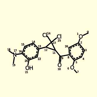 COc1ccc(OC)c(C(=O)C2C(c3ccc(N(C)C)c(O)c3)C2(Cl)Cl)c1